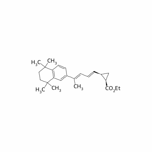 CCOC(=O)[C@@H]1C[C@@H]1/C=C/C=C(\C)c1ccc2c(c1)C(C)(C)CCC2(C)C